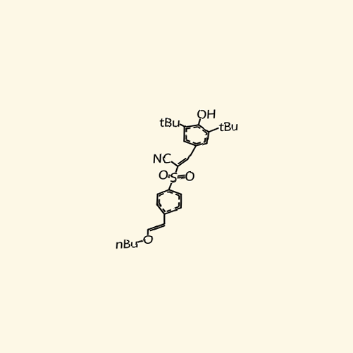 CCCCOC=Cc1ccc(S(=O)(=O)C(C#N)=Cc2cc(C(C)(C)C)c(O)c(C(C)(C)C)c2)cc1